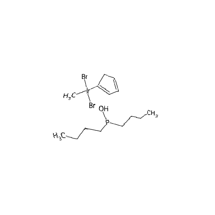 CCCCP(O)CCCC.[CH3][Ir]([Br])([Br])[C]1=CC=CC1